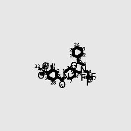 Cc1cc(C(=O)N2CCC3(CC2)CN(CC(F)(F)F)CC(c2ccccc2)O3)ccc1S(C)(=O)=O